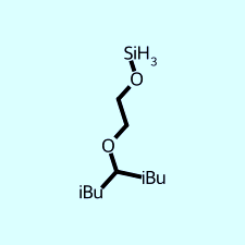 CCC(C)C(OCCO[SiH3])C(C)CC